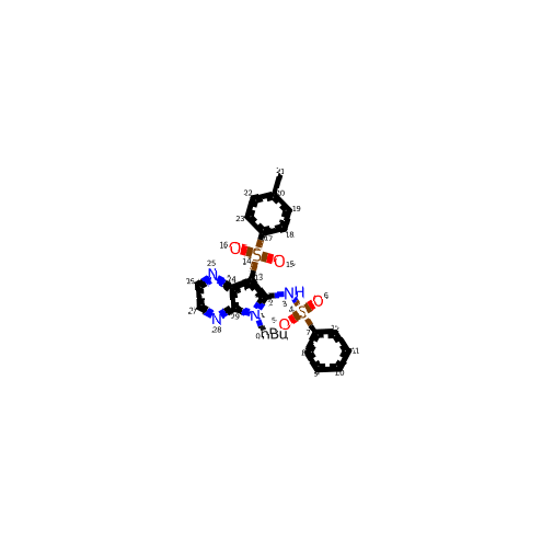 CCCCn1c(NS(=O)(=O)c2ccccc2)c(S(=O)(=O)c2ccc(C)cc2)c2nccnc21